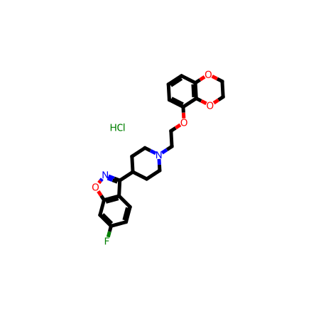 Cl.Fc1ccc2c(C3CCN(CCOc4cccc5c4OCCO5)CC3)noc2c1